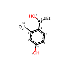 CC[As](O)c1ccc(O)cc1[N+](=O)[O-]